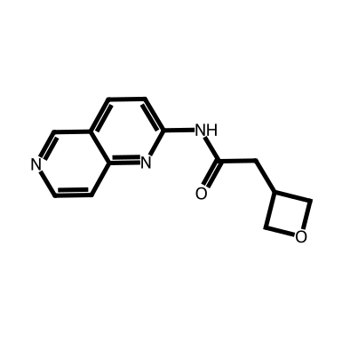 O=C(CC1COC1)Nc1ccc2cnccc2n1